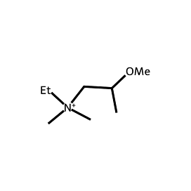 CC[N+](C)(C)CC(C)OC